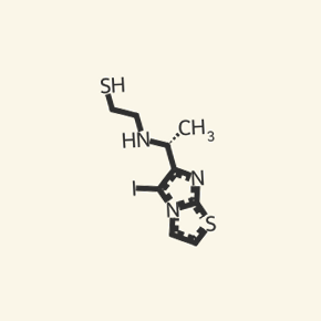 C[C@@H](NCCS)c1nc2sccn2c1I